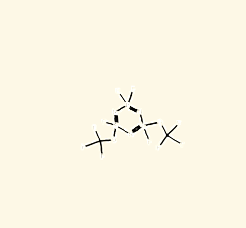 FC(F)(F)OP1(F)=NP(F)(F)=NP(F)(OC(F)(F)F)=N1